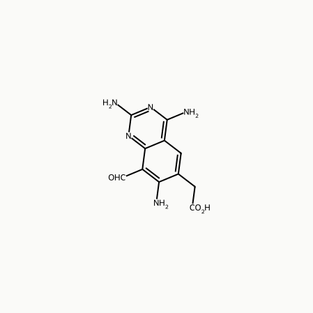 Nc1nc(N)c2cc(CC(=O)O)c(N)c(C=O)c2n1